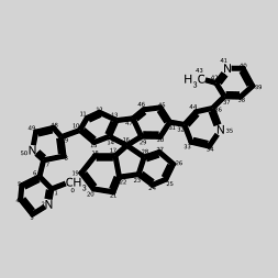 Cc1ncccc1-c1cc(-c2ccc3c(c2)C2(c4ccccc4-c4ccccc42)c2cc(-c4ccnc(-c5cccnc5C)c4)ccc2-3)ccn1